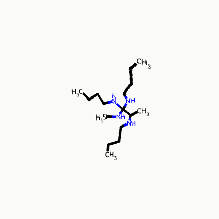 CCCCNC(C)C(N[SiH3])(NCCCC)NCCCC